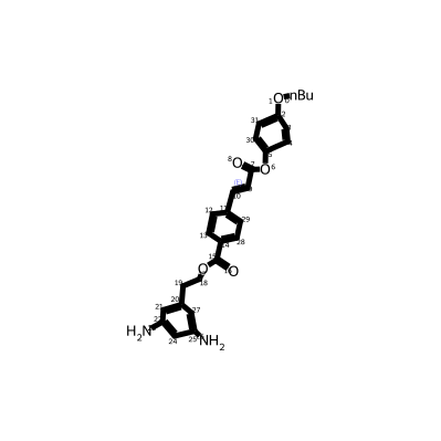 CCCCOc1ccc(OC(=O)/C=C/c2ccc(C(=O)OC[CH]c3cc(N)cc(N)c3)cc2)cc1